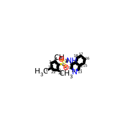 Cc1cc(C)c(S(=O)(=O)Nc2cn[c]c3ccccc23)c(C)c1